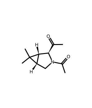 CC(=O)[C@@H]1[C@@H]2[C@H](CN1C(C)=O)C2(C)C